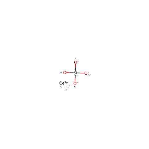 [Ce+3].[Li+].[O-][Si]([O-])([O-])[O-]